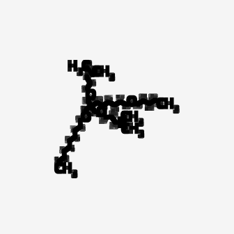 CCCCCCCCCCOCC(CCCCCCOCCCCC)(COCCCN(C)C)COCCCN(C)C